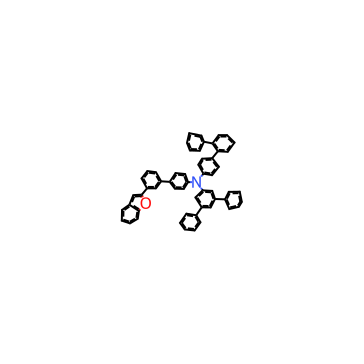 c1ccc(-c2cc(-c3ccccc3)cc(N(c3ccc(-c4cccc(-c5cc6ccccc6o5)c4)cc3)c3ccc(-c4ccccc4-c4ccccc4)cc3)c2)cc1